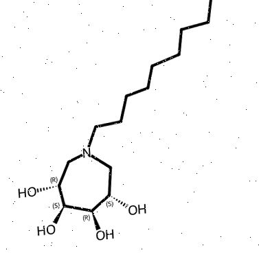 OCCCCCCCCCN1C[C@@H](O)[C@H](O)[C@H](O)[C@@H](O)C1